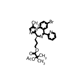 CC(=O)OC(C)(C)C(=O)OCCC[C@@H]1N=C(c2ccccn2)c2cc(Br)ccc2-n2c(C)cnc21